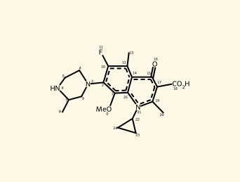 COc1c(N2CCNC(C)C2)c(F)c(C)c2c(=O)c(C(=O)O)c(C)n(C3CC3)c12